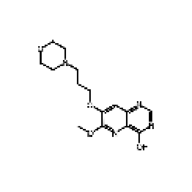 COc1nc2c(O)ncnc2cc1OCCCN1CCOCC1